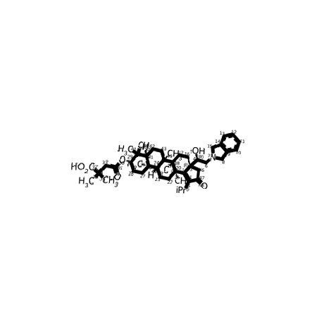 CC(C)C1=C2[C@@]([C@@H](O)CN3Cc4ccccc4C3)(CC[C@]3(C)[C@]2(C)CC[C@@H]2[C@@]4(C)CC[C@H](OC(=O)CC(C)(C)C(=O)O)C(C)(C)[C@@H]4CC[C@]23C)CC1=O